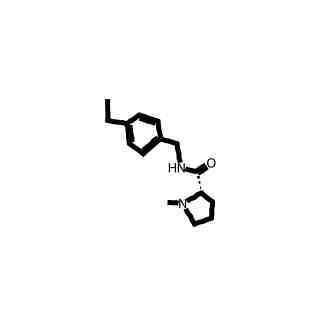 CCc1ccc(CNC(=O)[C@@H]2CCCN2C)cc1